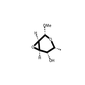 CO[C@@H]1O[C@H](C)[C@H](O)[C@H]2O[C@@H]12